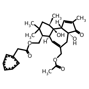 CC(=O)OCC1=C[C@H]2[C@@H](COC(=O)Cc3ccccc3)C(C)(C)C[C@@H](C)[C@]2(O)[C@@H]2C=C(C)C(=O)[C@@]2(O)C1